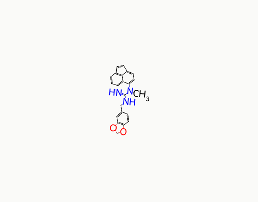 CN(C(=N)NCc1ccc2c(c1)OCO2)c1ccc2c3c(cccc13)C=C2